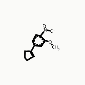 COc1cc(C2=CCCC2)ccc1[N+](=O)[O-]